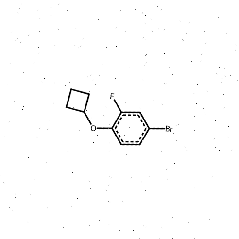 Fc1cc(Br)ccc1OC1CCC1